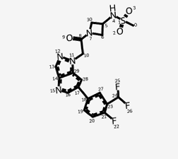 CS(=O)(=O)NC1CN(C(=O)Cn2ncc3ncc(-c4ccc(F)c(C(F)F)c4)cc32)C1